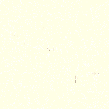 CC(CCNC=O)NC(=O)OC(C)(C)C